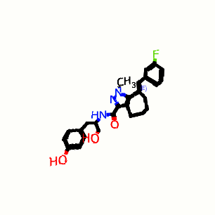 Cn1nc(C(=O)NC(CO)Cc2ccc(O)cc2)c2c1/C(=C/c1cccc(F)c1)CCCC2